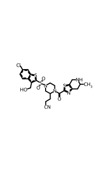 CC1Cc2nc(C(=O)N3CCN(S(=O)(=O)c4sc5cc(Cl)ccc5c4CO)CC3CCC#N)sc2CN1